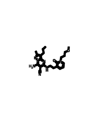 CCCc1c(C)nn2c(N)c(C#N)c(NCCc3cccn(CCCOC)c3=O)nc12